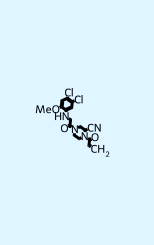 C=CC(=O)N1CCN(C(=O)CNc2cc(Cl)c(Cl)cc2OC)CC1C#N